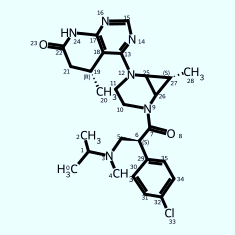 CC(C)N(C)C[C@@H](C(=O)N1CCN(c2ncnc3c2[C@H](C)CC(=O)N3)C2C1[C@H]2C)c1ccc(Cl)cc1